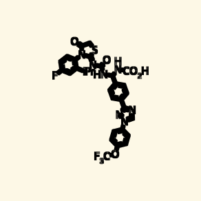 CC(C)c1cc(F)ccc1N1C(=O)CS/C1=N\C(=O)NC(NC(=O)O)c1ccc(-c2ncn(-c3ccc(OC(F)(F)F)cc3)n2)cc1